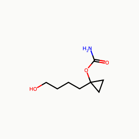 NC(=O)OC1(CCCCO)CC1